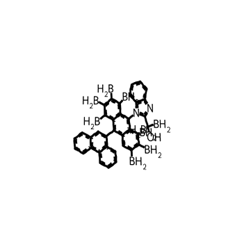 Bc1cc2c(-c3cc4ccccc4c4ccccc34)c3c(B)c(B)c(B)c(B)c3c(-n3c(C(B)(B)O)nc4ccccc43)c2c(B)c1B